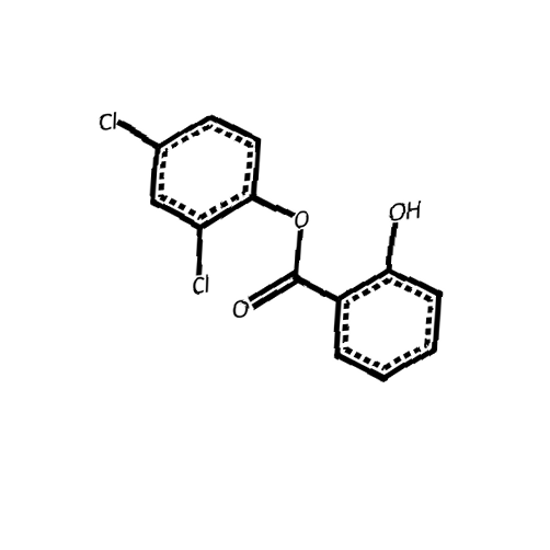 O=C(Oc1ccc(Cl)cc1Cl)c1ccccc1O